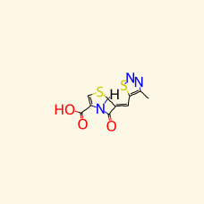 Cc1nnsc1/C=C1/C(=O)N2C(C(=O)O)=CS[C@@H]12